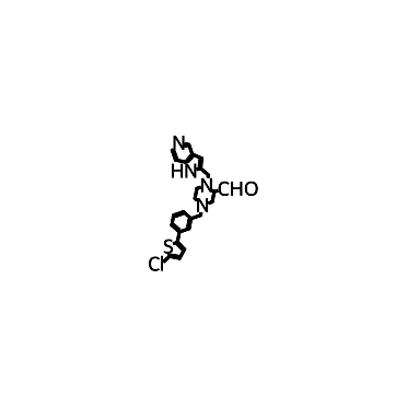 O=CC1CN(Cc2cccc(-c3ccc(Cl)s3)c2)CCN1Cc1cc2cnccc2[nH]1